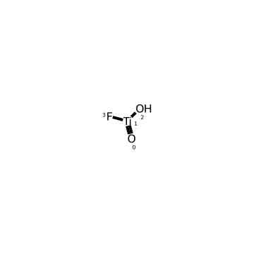 [O]=[Ti]([OH])[F]